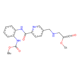 CCOC(=C=O)CNCc1ccc(C(=O)Nc2ccccc2NC(=O)OC(C)(C)C)nc1